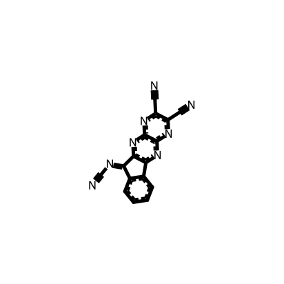 N#C/N=C1\c2ccccc2-c2nc3nc(C#N)c(C#N)nc3nc21